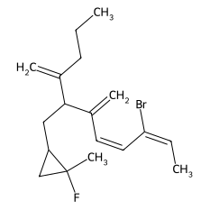 C=C(/C=C\C(Br)=C/C)C(CC1CC1(C)F)C(=C)CCC